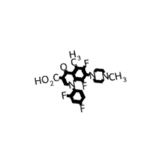 Cc1c(F)c(N2CCN(C)CC2)c(F)c2c1c(=O)c(C(=O)O)cn2-c1ccc(F)cc1F